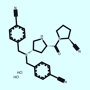 Cl.Cl.N#Cc1ccc(CN(Cc2ccc(C#N)cc2)[C@@H]2CN[C@H](C(=O)N3CCC[C@H]3C#N)C2)cc1